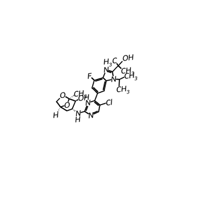 CC(C)n1c(C(C)(C)O)nc2c(F)cc(-c3nc(N[C@@H]4C[C@H]5CO[C@](C)(O5)[C@H]4O)ncc3Cl)cc21